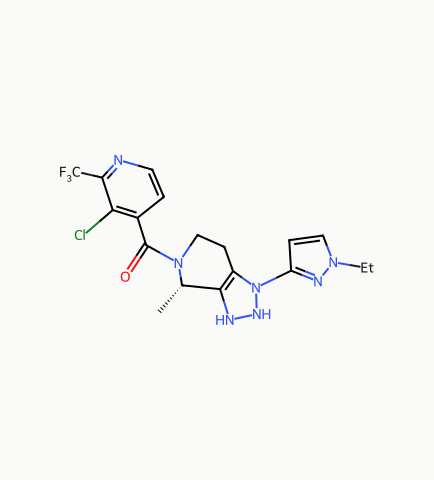 CCn1ccc(N2NNC3=C2CCN(C(=O)c2ccnc(C(F)(F)F)c2Cl)[C@H]3C)n1